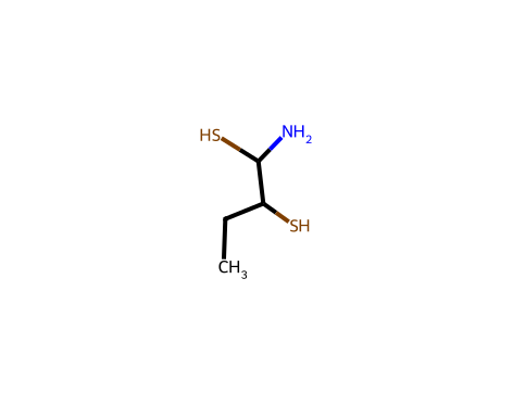 CCC(S)C(N)S